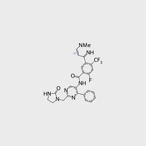 CN/C=C\C(=N)c1cc(C(=O)Nc2cnc(CN3CCNC3=O)nc2-c2ccccc2)c(F)cc1C(F)(F)F